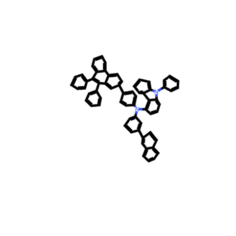 c1ccc(-c2c(-c3ccccc3)c3cc(-c4ccc(N(c5cccc(-c6ccc7ccccc7c6)c5)c5cccc6c5c5ccccc5n6-c5ccccc5)cc4)ccc3c3ccccc23)cc1